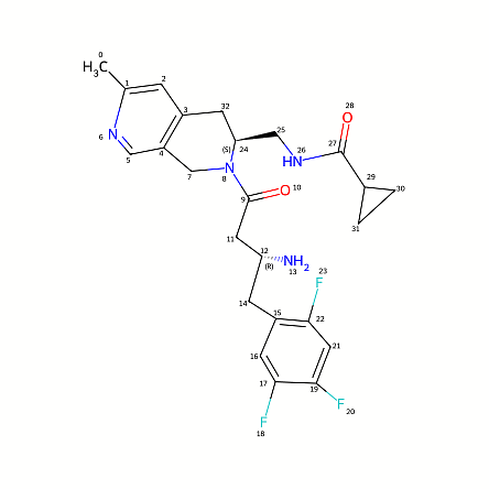 Cc1cc2c(cn1)CN(C(=O)C[C@H](N)Cc1cc(F)c(F)cc1F)[C@H](CNC(=O)C1CC1)C2